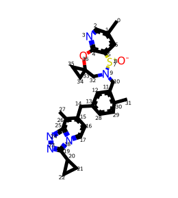 Cc1cnc2c(c1)[S+]([O-])N(Cc1cc(Cc3ccn4c(C5CC5)nnc4c3C)ccc1C)CC1(CC1)O2